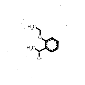 CCOc1ccccc1C(C)[O]